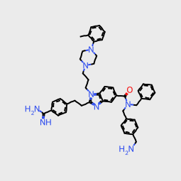 Cc1ccccc1N1CCN(CCCn2c(CCc3ccc(C(=N)N)cc3)nc3cc(C(=O)N(Cc4ccccc4)Cc4ccc(CN)cc4)ccc32)CC1